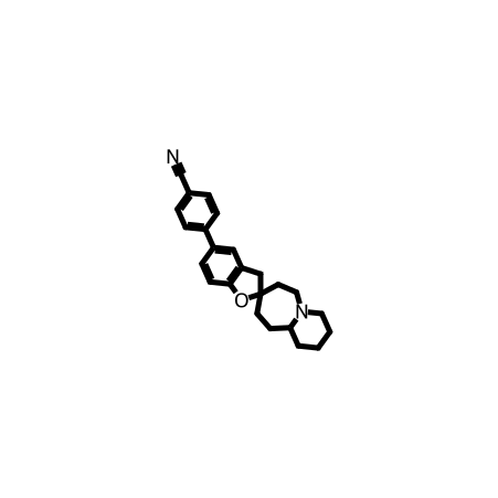 N#Cc1ccc(-c2ccc3c(c2)CC2(CCC4CCCCN4CC2)O3)cc1